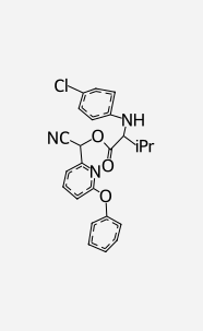 CC(C)C(Nc1ccc(Cl)cc1)C(=O)OC(C#N)c1cccc(Oc2ccccc2)n1